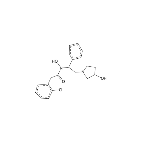 O=C(Cc1ccccc1Cl)N(O)C(CN1CCC(O)C1)c1ccccc1